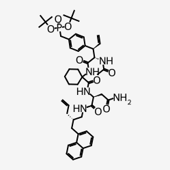 C=CC[C@H](CNC(=O)[C@H](CC(N)=O)NC(=O)C1(NC(=O)[C@@H](NC(C)=O)[C@H](C=C)c2ccc(CP(=O)(OC(C)(C)C)OC(C)(C)C)cc2)CCCCC1)Cc1cccc2ccccc12